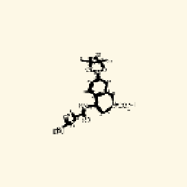 CC(C)(C)c1nc(C(=O)NC2CCN(C(=O)O)Cc3cc(B4OC(C)(C)C(C)(C)O4)ccc32)no1